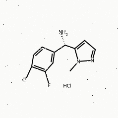 Cl.Cn1nccc1[C@@H](N)c1ccc(Cl)c(F)c1